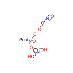 CCCC(C)N(CCOc1cc(CO)nc(CO)c1)C(=O)CCOCCOCCOCCN1CCOCC1